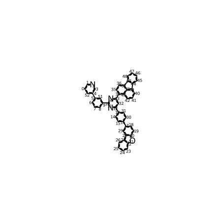 c1cncc(-c2cccc(-c3nc(-c4ccc(-c5ccc6oc7ccccc7c6c5)cc4)cc(-c4ccc5c6c(cccc46)-c4ccccc4-5)n3)c2)c1